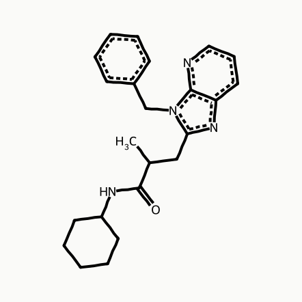 CC(Cc1nc2cccnc2n1Cc1ccccc1)C(=O)NC1CCCCC1